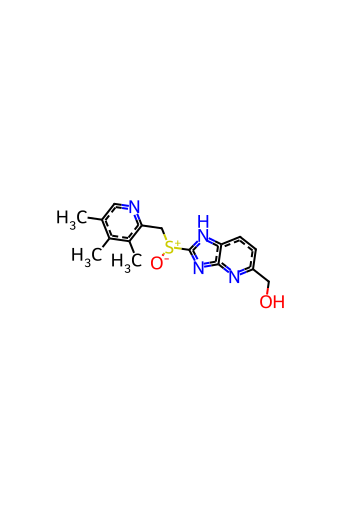 Cc1cnc(C[S+]([O-])c2nc3nc(CO)ccc3[nH]2)c(C)c1C